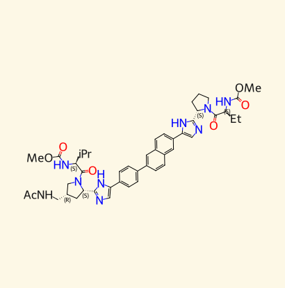 CC[C@H](NC(=O)OC)C(=O)N1CCC[C@H]1c1ncc(-c2ccc3cc(-c4ccc(-c5cnc([C@@H]6C[C@H](CNC(C)=O)CN6C(=O)[C@@H](NC(=O)OC)C(C)C)[nH]5)cc4)ccc3c2)[nH]1